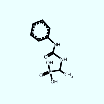 CC(NC(=O)Nc1ccccc1)P(=O)(O)O